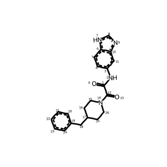 O=C(Nc1ccc2[nH]cnc2c1)C(=O)N1CCC(Cc2ccccc2)CC1